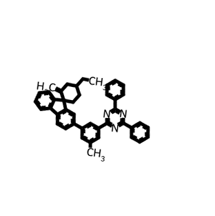 C=C1CC(CC)CCC12c1ccccc1-c1ccc(-c3cc(C)cc(-c4nc(-c5ccccc5)nc(-c5ccccc5)n4)c3)cc12